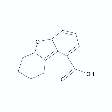 O=C(O)C1=CC=CC2OC3CCCCC3=C12